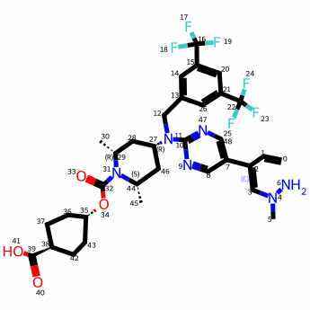 C=C/C(=C\N(C)N)c1cnc(N(Cc2cc(C(F)(F)F)cc(C(F)(F)F)c2)[C@H]2C[C@@H](C)N(C(=O)O[C@H]3CC[C@H](C(=O)O)CC3)[C@@H](C)C2)nc1